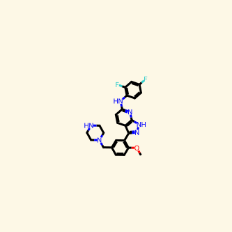 COc1ccc(CN2CCNCC2)cc1-c1n[nH]c2nc(Nc3ccc(F)cc3F)ccc12